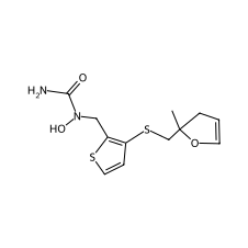 CC1(CSc2ccsc2CN(O)C(N)=O)CC=CO1